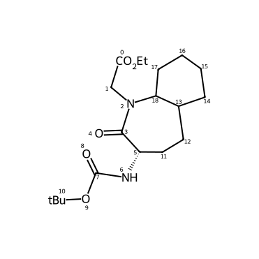 CCOC(=O)CN1C(=O)[C@@H](NC(=O)OC(C)(C)C)CCC2CCCCC21